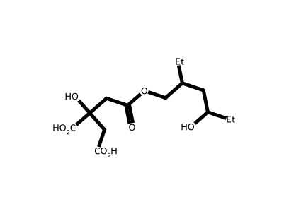 CCC(O)CC(CC)COC(=O)CC(O)(CC(=O)O)C(=O)O